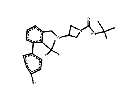 CC(C)(C)NC(=O)N1CC(OCc2cccc(-c3ccc(Br)cc3)c2C(F)(F)F)C1